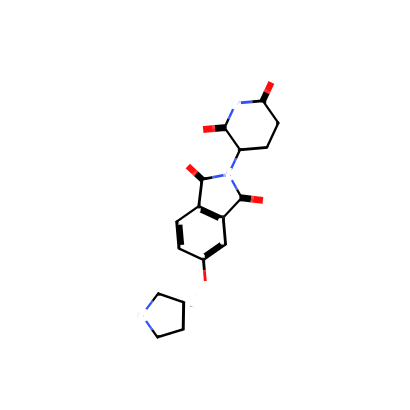 Cl.O=C1CCC(N2C(=O)c3ccc(O[C@@H]4CCNC4)cc3C2=O)C(=O)N1